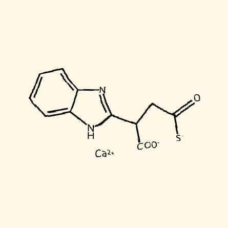 O=C([S-])CC(C(=O)[O-])c1nc2ccccc2[nH]1.[Ca+2]